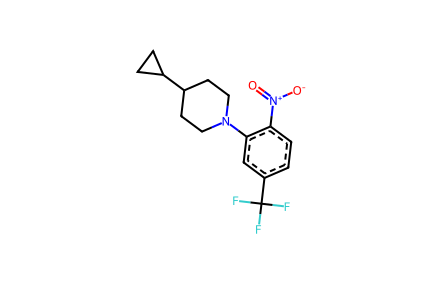 O=[N+]([O-])c1ccc(C(F)(F)F)cc1N1CCC(C2CC2)CC1